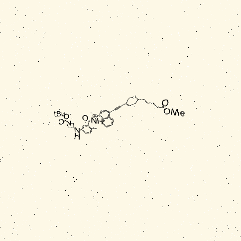 COC(=O)CCCCC1CCC(C#Cc2ccc([C@@H](C)NC(=O)c3cc(NC4CN(C(=O)OC(C)(C)C)C4)ccc3C)c3ccccc23)CC1